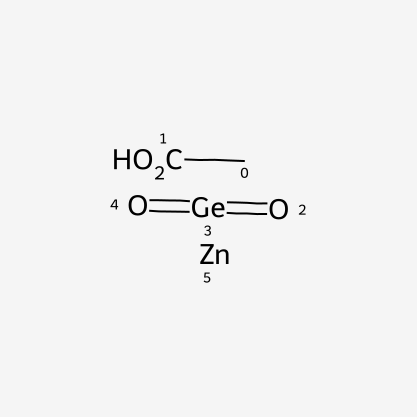 CC(=O)O.[O]=[Ge]=[O].[Zn]